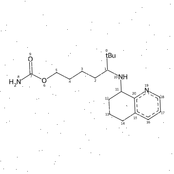 CC(C)(C)C(CCCCOC(N)=O)NC1CCCc2cccnc21